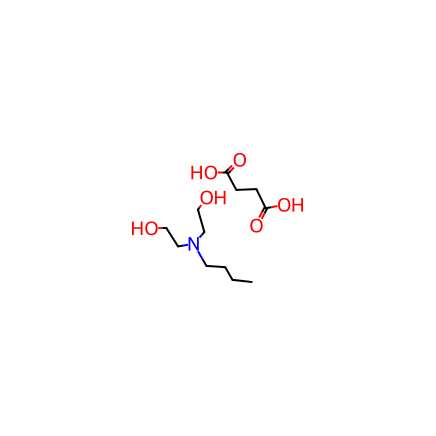 CCCCN(CCO)CCO.O=C(O)CCC(=O)O